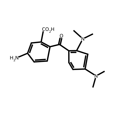 CN(C)c1ccc(C(=O)c2ccc(N)cc2C(=O)O)c(N(C)C)c1